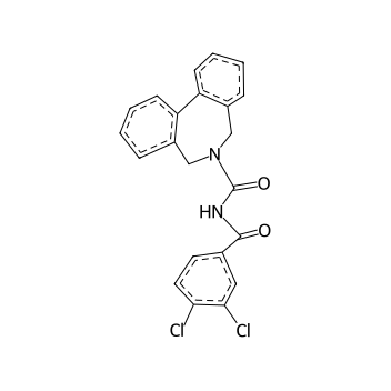 O=C(NC(=O)N1Cc2ccccc2-c2ccccc2C1)c1ccc(Cl)c(Cl)c1